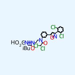 CC[C@H](C)[C@H](NC(=O)O)C(=O)NCCN(C(=O)C(Cl)Cl)c1cccc(-c2cc(-c3c(Cl)cccc3Cl)no2)c1